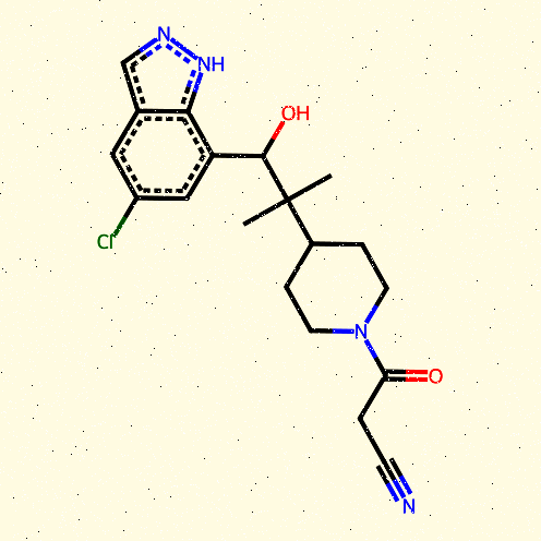 CC(C)(C1CCN(C(=O)CC#N)CC1)C(O)c1cc(Cl)cc2cn[nH]c12